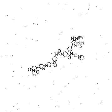 CC(C)n1cnc2cc(-c3ccc4c(c3)N([C@H]3C[C@@H](N5CCCCC5)C3)C(=O)C43CCN(CC(=O)N(C)C4CCN(C(=O)C5CCN(c6ccc(C7CCC(=O)NC7=O)cn6)CC5)CC4)CC3)nc(NC3CC3)c21